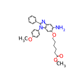 COC(=O)CCCCCOc1cc2c(cc1N)nc(-c1ccccc1)n2-c1ccc(OC)cc1